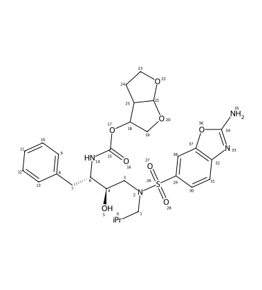 CC(C)CN(C[C@@H](O)[C@H](Cc1ccccc1)NC(=O)OC1COC2OCCC12)S(=O)(=O)c1ccc2nc(N)oc2c1